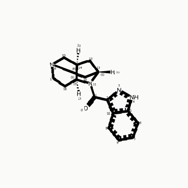 O=C(c1n[nH]c2ccccc12)N1[C@H]2C[C@@H]3CN(CC[C@@H]31)C2